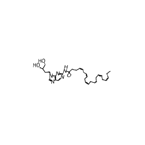 CC/C=C\C/C=C\C/C=C\C/C=C\C/C=C\C/C=C\CCC(=O)Nc1ncc2ncn(CCC(CO)CO)c2n1